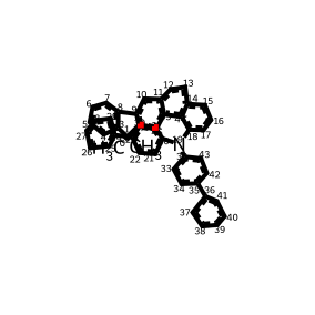 CC1(C)c2ccccc2-c2cc3ccc4cccc(N(c5ccc(-c6ccccc6)cc5)c5ccc(-c6ccccc6)cc5)c4c3cc21